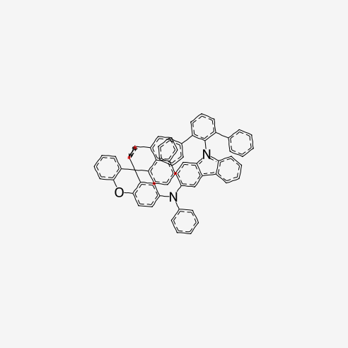 c1ccc(-c2cccc(-c3ccccc3)c2-n2c3ccccc3c3cc(N(c4ccccc4)c4ccc5c(c4)C4(c6ccccc6O5)c5ccccc5-c5cccc6cccc4c56)ccc32)cc1